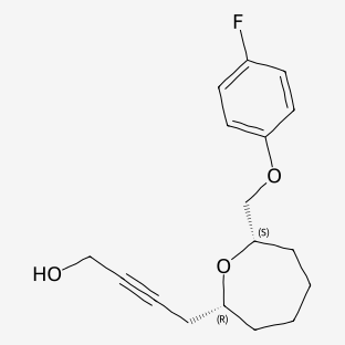 OCC#CC[C@H]1CCCC[C@@H](COc2ccc(F)cc2)O1